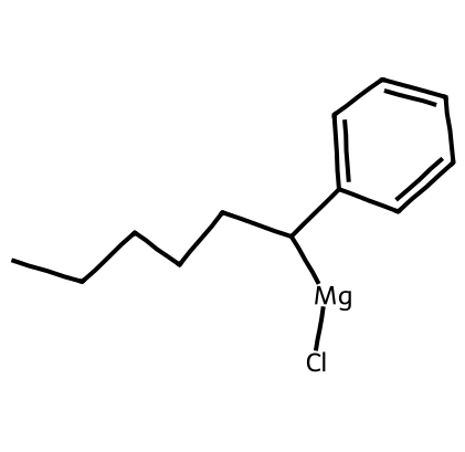 CCCCC[CH]([Mg][Cl])c1ccccc1